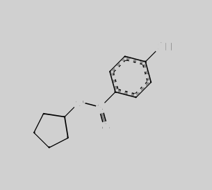 Cc1ccc(S(=O)OC2CCCC2)cc1